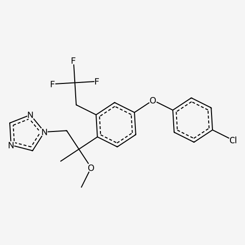 COC(C)(Cn1cncn1)c1ccc(Oc2ccc(Cl)cc2)cc1CC(F)(F)F